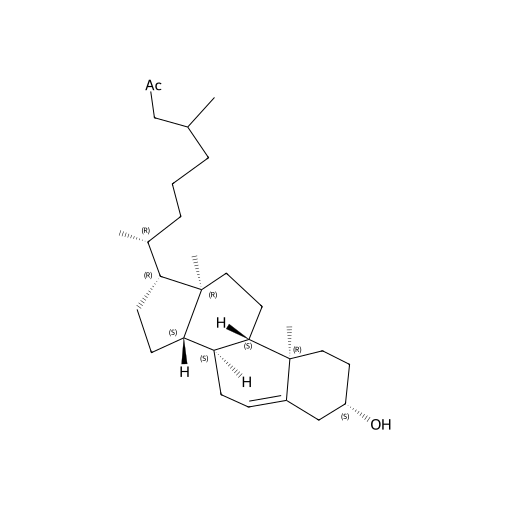 CC(=O)CC(C)CCC[C@@H](C)[C@H]1CC[C@H]2[C@@H]3CC=C4C[C@@H](O)CC[C@]4(C)[C@H]3CC[C@]12C